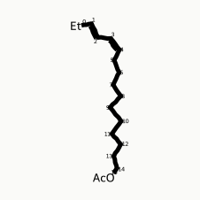 CCC=C/C=C\CCCCCCCCCCOC(C)=O